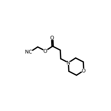 N#CCOC(=O)CCN1CCOCC1